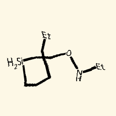 CCNOC1(CC)CC[SiH2]1